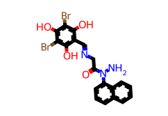 NN(C(=O)CN=Cc1c(O)c(Br)c(O)c(Br)c1O)c1cccc2ccccc12